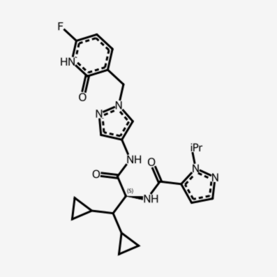 CC(C)n1nccc1C(=O)N[C@H](C(=O)Nc1cnn(Cc2ccc(F)[nH]c2=O)c1)C(C1CC1)C1CC1